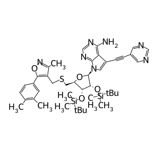 Cc1ccc(-c2onc(C)c2CSC[C@H]2O[C@@H](n3cc(C#Cc4cncnc4)c4c(N)ncnc43)[C@H](O[Si](C)(C)C(C)(C)C)[C@@H]2O[Si](C)(C)C(C)(C)C)cc1C